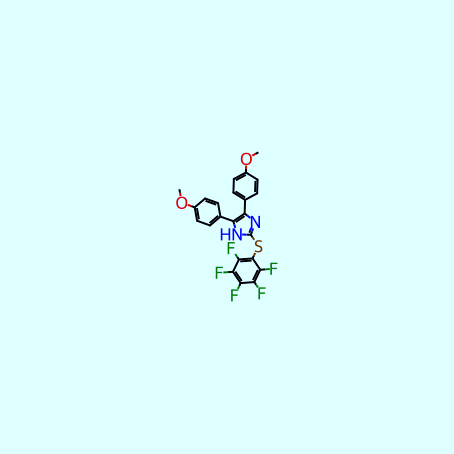 COc1ccc(-c2nc(Sc3c(F)c(F)c(F)c(F)c3F)[nH]c2-c2ccc(OC)cc2)cc1